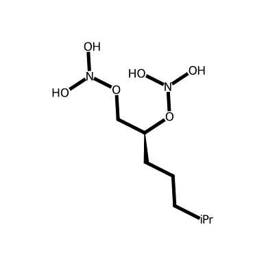 CC(C)CCC[C@@H](CON(O)O)ON(O)O